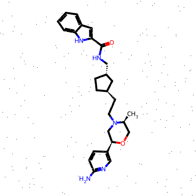 C[C@H]1CO[C@@H](c2ccc(N)nc2)CN1CC[C@H]1CC[C@H](CNC(=O)c2cc3ccccc3[nH]2)C1